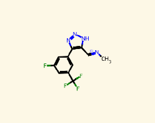 C/N=C/c1[nH]nnc1-c1cc(F)cc(C(F)(F)F)c1